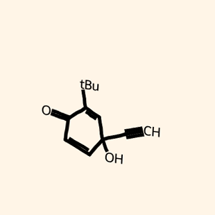 C#CC1(O)C=CC(=O)C(C(C)(C)C)=C1